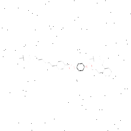 CCCCCCCC1CCC(COc2ccc(OCCCC3CCCCC3CCC)cc2)CC1